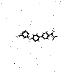 CN(C)C(=O)c1ccc(-c2ccc(Nc3cncc(N)c3)nc2)cc1